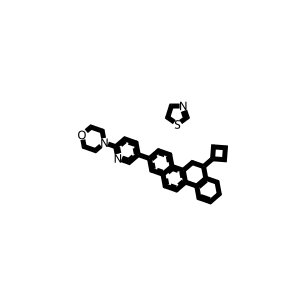 C1=CC2=C(CC1)C(C1CCC1)Cc1c2ccc2cc(-c3ccc(N4CCOCC4)nc3)ccc12.C1=NCCS1